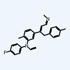 C=CN(c1ccc(F)cc1)c1cc(/C(=C/C=N\C)Cc2ccc(C)cc2)ccc1C